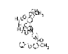 COc1cc(C2=NN(C3CCN(C(=O)c4cc(OCc5ccccc5)ccc4C)CC3)C(=O)C2(C)C)cc2c1OC(C)(C)C2